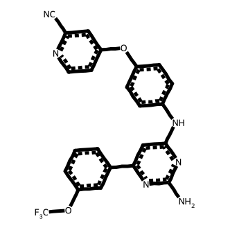 N#Cc1cc(Oc2ccc(Nc3cc(-c4cccc(OC(F)(F)F)c4)nc(N)n3)cc2)ccn1